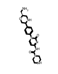 NC[C@H]1CNC(c2ccc(-n3ccc(NC(=O)N4CCNCC4)nc3=O)cc2)CO1